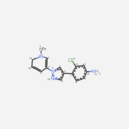 CCCN1C=C(n2cc(-c3ccc(N)cc3Cl)cn2)C=CC1